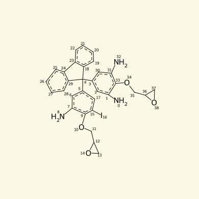 Nc1cc(C2(c3cc(N)c(OCC4CO4)c(I)c3)c3ccccc3-c3ccccc32)cc(N)c1OCC1CO1